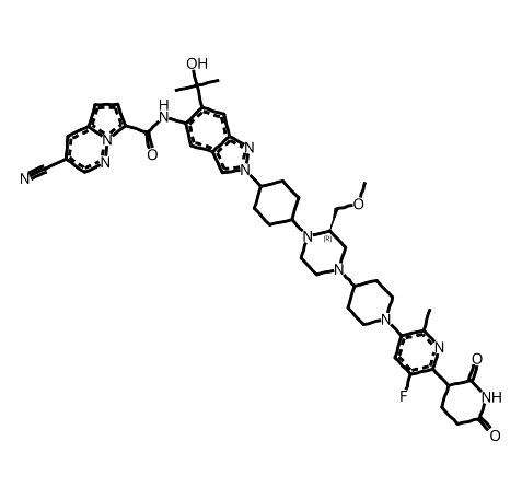 COC[C@H]1CN(C2CCN(c3cc(F)c(C4CCC(=O)NC4=O)nc3C)CC2)CCN1C1CCC(n2cc3cc(NC(=O)c4ccc5cc(C#N)cnn45)c(C(C)(C)O)cc3n2)CC1